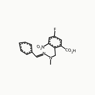 CN(Cc1c(C(=O)O)cc(F)cc1[N+](=O)[O-])N=Cc1ccccc1